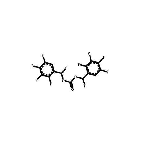 O=C(OC(F)c1cc(F)c(F)c(F)c1F)OC(F)c1cc(F)c(F)c(F)c1F